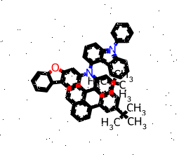 CC(C)(C)c1cc(-c2cccc3cccc(-c4ccccc4N(c4ccc5c(c4)OC4C=CC=CC54)c4cccc5c4c4ccccc4n5-c4ccccc4)c23)cc(C(C)(C)C)c1